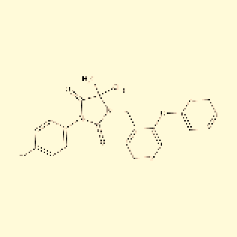 CC1(C)C(=O)N(c2ccc(F)cc2)C(=O)N1Cc1ccccc1Oc1ccccc1